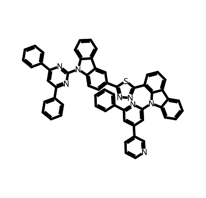 c1ccc(-c2cc(-c3cccnc3)cc(-n3c4ccccc4c4cccc(-c5nnc(-c6ccc7c(c6)c6ccccc6n7-c6nc(-c7ccccc7)cc(-c7ccccc7)n6)s5)c43)n2)cc1